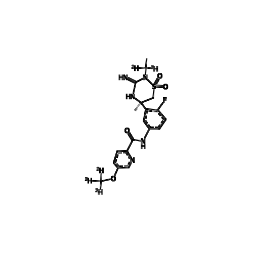 [2H]C([2H])([2H])Oc1ccc(C(=O)Nc2ccc(F)c([C@]3(C)CS(=O)(=O)N(C([2H])([2H])C)C(=N)N3)c2)nc1